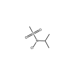 CC(C)N(Cl)S(C)(=O)=O